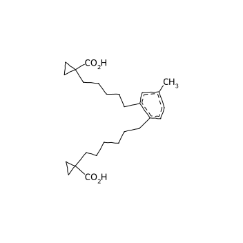 Cc1ccc(CCCCCCC2(C(=O)O)CC2)c(CCCCCC2(C(=O)O)CC2)c1